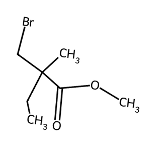 CCC(C)(CBr)C(=O)OC